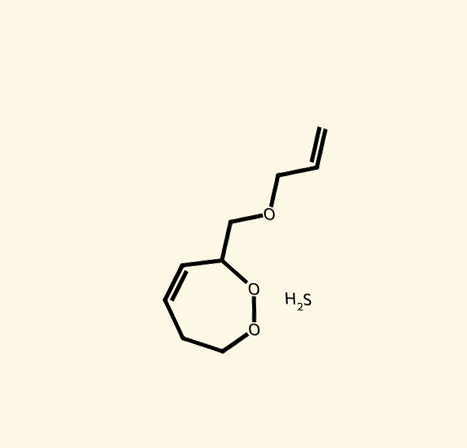 C=CCOCC1C=CCCOO1.S